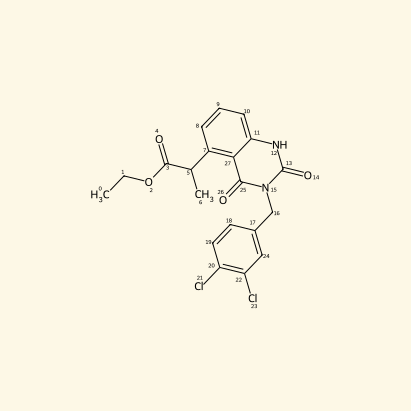 CCOC(=O)C(C)c1cccc2[nH]c(=O)n(Cc3ccc(Cl)c(Cl)c3)c(=O)c12